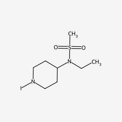 CCN(C1CCN(I)CC1)S(C)(=O)=O